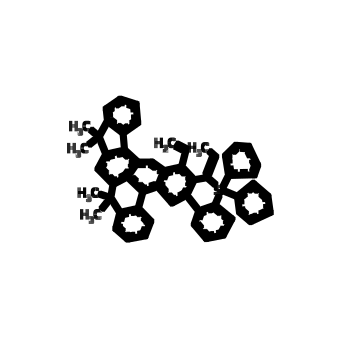 C=Cc1c2c(cc3c4c5c(cc6c(c5cc13)-c1ccccc1C6(C)C)C(C)(C)c1ccccc1-4)-c1ccccc1[Si](c1ccccc1)(c1ccccc1)/C2=C/C